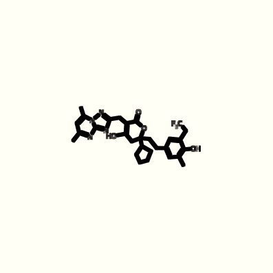 Cc1cc(C)n2nc(CC3=C(O)CC(CCc4cc(C)c(O)c(CC(F)(F)F)c4)(C4CCCC4)OC3=O)nc2n1